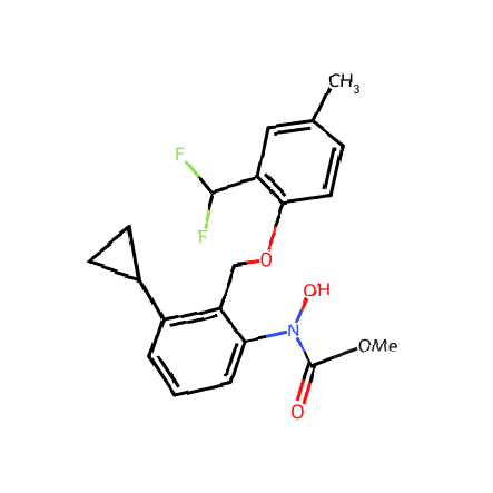 COC(=O)N(O)c1cccc(C2CC2)c1COc1ccc(C)cc1C(F)F